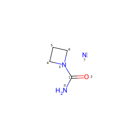 NC(=O)N1CCC1.[N]